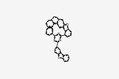 c1ccc(-c2nc(-c3ccc4sc5ccccc5c4c3)nc(-c3cccc4oc5cc6ccc7ccccc7c6cc5c34)n2)cc1